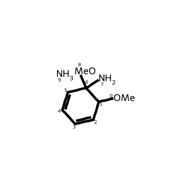 COC1C=CC=CC1(N)OC.N